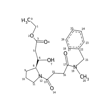 CCOC(=O)CC(O)[C@@H]1CCCN1C(=O)CCC(=O)N(C)Cc1ccccc1